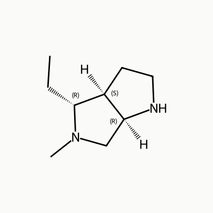 CC[C@@H]1[C@H]2CCN[C@H]2CN1C